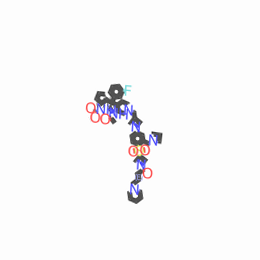 COC(=O)N[C@H]1CCC[C@@H]1[C@](CNC(C)=O)(c1cccc(F)c1)C1CCN(CC2CN(c3ccc(S(=O)(=O)C4CN(C(=O)/C=C/CN5CCCCC5)C4)c(CN4CCC4)c3)C2)CC1